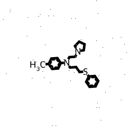 Cc1ccc(N(CCCSc2ccccc2)CCN2CCCC2)cc1